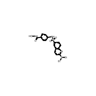 CCN(CC)c1ccc2cc(S(=O)(=O)Nc3ccc(C(=O)NO)cc3)ccc2n1